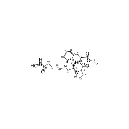 CCOC(=O)[C@H](Cc1ccccc1)NC(=O)C1CCCN1C(=O)CCCCCCC(=O)NO